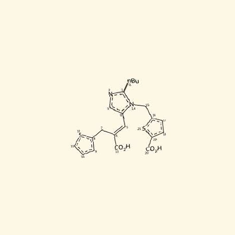 CCCCc1ncc(C=C(Cc2cccs2)C(=O)O)n1Cc1ccc(C(=O)O)s1